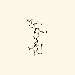 Cc1ccc(-c2cc(N)n(CC(=O)N3CC[C@@]4(C3)OC(=O)Nc3ccc(Cl)c(F)c34)n2)n1C